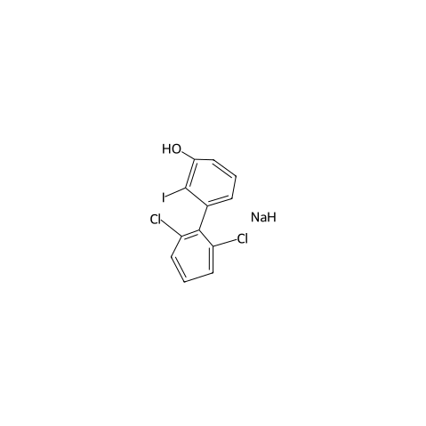 Oc1cccc(-c2c(Cl)cccc2Cl)c1I.[NaH]